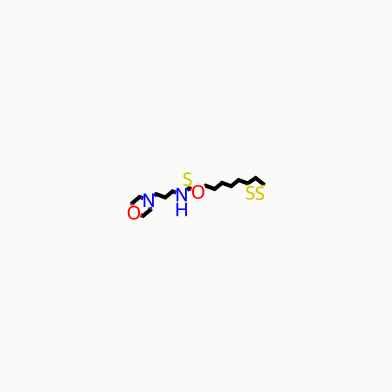 S=C(NCCCN1CCOCC1)OCCCCCC1CCSS1